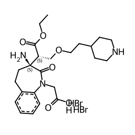 Br.Br.CCOC(=O)[C@H](COCCC1CCNCC1)[C@@]1(N)CCc2ccccc2N(CC(=O)O)C1=O